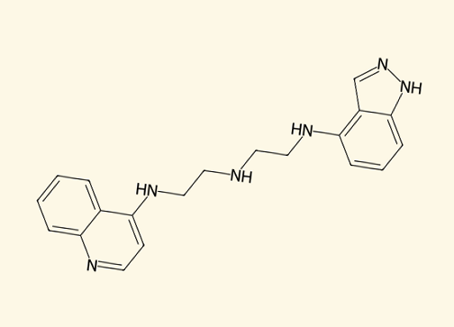 c1ccc2c(NCCNCCNc3cccc4[nH]ncc34)ccnc2c1